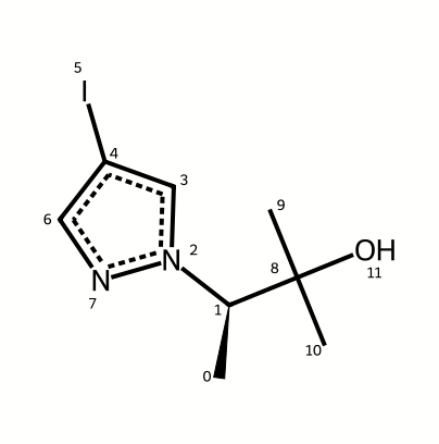 C[C@@H](n1cc(I)cn1)C(C)(C)O